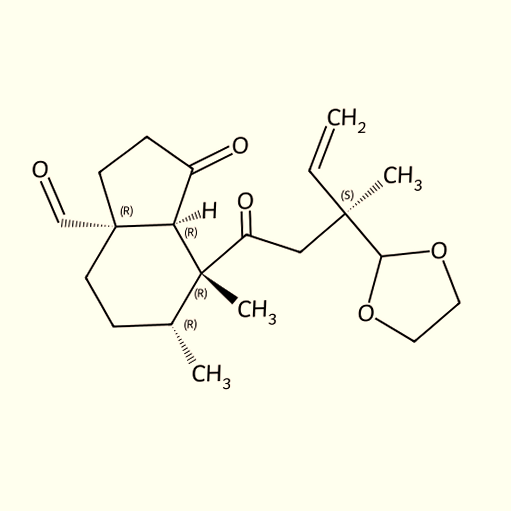 C=C[C@](C)(CC(=O)[C@]1(C)[C@H](C)CC[C@@]2(C=O)CCC(=O)[C@H]21)C1OCCO1